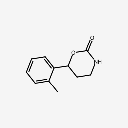 Cc1ccccc1C1CCNC(=O)O1